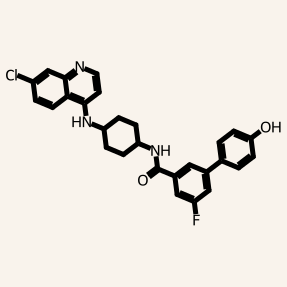 O=C(NC1CCC(Nc2ccnc3cc(Cl)ccc23)CC1)c1cc(F)cc(-c2ccc(O)cc2)c1